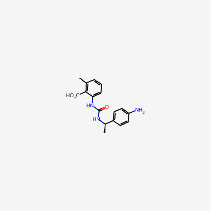 Cc1cccc(NC(=O)N[C@H](C)c2ccc(N)cc2)c1C(=O)O